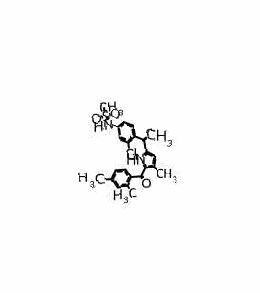 Cc1ccc(C(=O)c2[nH]c(C(C)c3ccc(NS(C)(=O)=O)cc3Cl)cc2C)c(C)c1